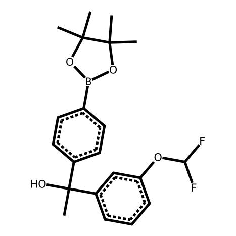 CC(O)(c1ccc(B2OC(C)(C)C(C)(C)O2)cc1)c1cccc(OC(F)F)c1